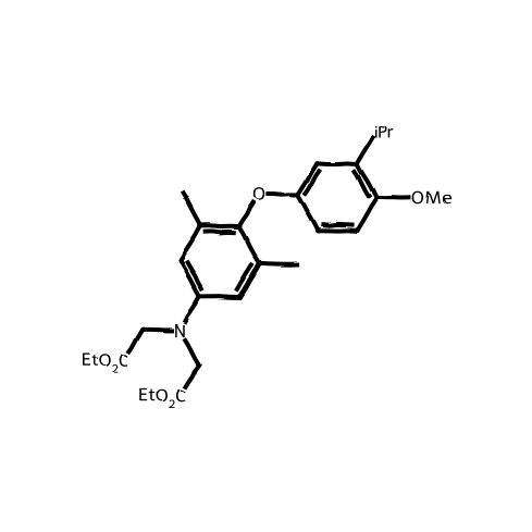 CCOC(=O)CN(CC(=O)OCC)c1cc(C)c(Oc2ccc(OC)c(C(C)C)c2)c(C)c1